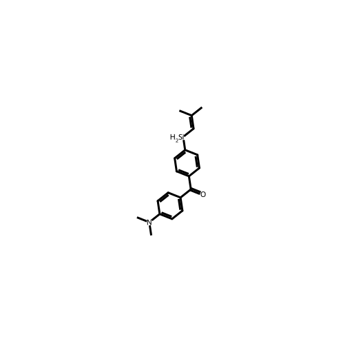 CC(C)=C[SiH2]c1ccc(C(=O)c2ccc(N(C)C)cc2)cc1